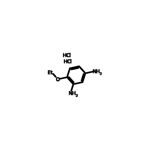 CCOc1ccc(N)cc1N.Cl.Cl